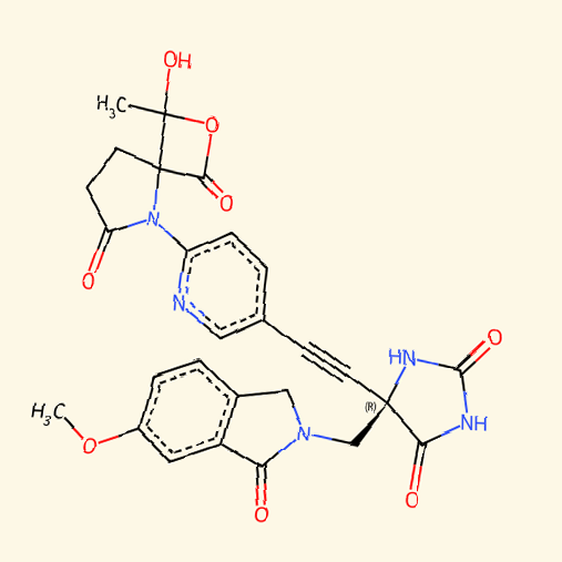 COc1ccc2c(c1)C(=O)N(C[C@@]1(C#Cc3ccc(N4C(=O)CCC45C(=O)OC5(C)O)nc3)NC(=O)NC1=O)C2